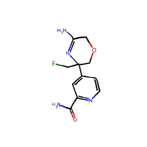 NC(=O)c1cc(C2(CF)COCC(N)=N2)ccn1